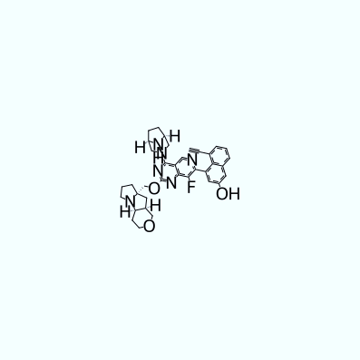 C#Cc1cccc2cc(O)cc(-c3ncc4c(N5C[C@H]6CC[C@@H](C5)N6)nc(OC[C@@]56CCCN5[C@@H]5CCOC[C@@H]5C6)nc4c3F)c12